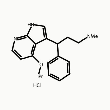 CNCCC(c1ccccc1)c1c[nH]c2nccc(OC(C)C)c12.Cl